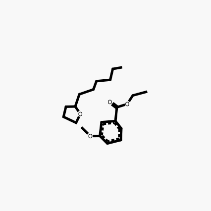 CCCCCCC1CCCO1.CCOC(=O)c1cccc(OC)c1